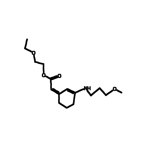 CCOCCOC(=O)C=C1C=C(NCCCOC)CCC1